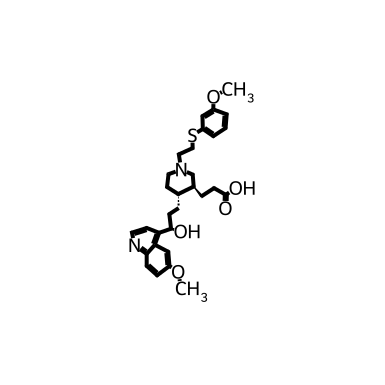 COc1cccc(SCCN2CC[C@@H](CC[C@@H](O)c3ccnc4ccc(OC)cc34)[C@H](CCC(=O)O)C2)c1